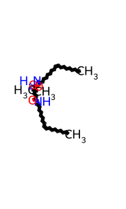 CCCCCCCC/C=C\CCCCCCCCNC(=O)CCC(C)(C)C(=O)OC(N)CCCCCCC/C=C\CCCCCCCC